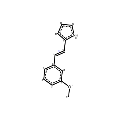 COc1cccc(/C=C/c2ccc[nH]2)c1